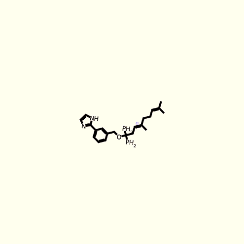 CC(C)=CCC/C(C)=C/CC(P)(P)OCc1cccc(-c2ncc[nH]2)c1